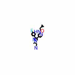 CC(CC#N)n1cc(-c2ccnc(NC(=O)CC3CC3)c2)c(-c2ccc(F)cc2)n1